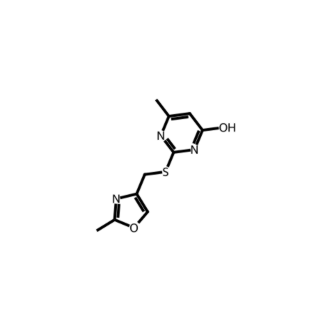 Cc1cc(O)nc(SCc2coc(C)n2)n1